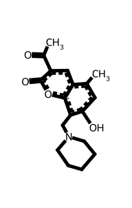 CC(=O)c1cc2c(C)cc(O)c(CN3CCCCC3)c2oc1=O